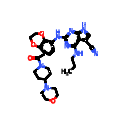 CCCNc1nc(Nc2ccc(C(=O)N3CCC(N4CCOCC4)CC3)c3c2OCCO3)nc2[nH]cc(C#N)c12